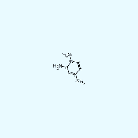 NC1=CC(N)N(N)C=C1